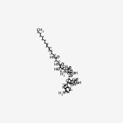 CCCCCCCCC=CC=CSCCNC(=O)CCNC(=O)[C@H](O)C(C)(C)COP(=O)(O)OP(=O)(O)OC[C@H]1O[C@@H](n2cnc3c(N)ncnc32)[C@H](O)[C@@H]1OP(=O)(O)O